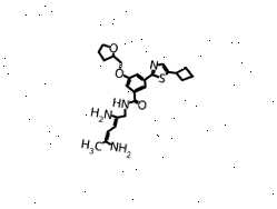 C/C(N)=C/C=C(\N)CNC(=O)c1cc(OCC2CCCO2)cc(-c2ncc(C3CCC3)s2)c1